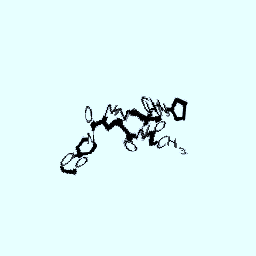 CCCN1C(=O)c2cc(C(=O)N3CCC4(CC3)OCCO4)nn2CC1(C)C(=O)NC1CCCC1